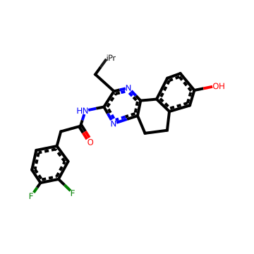 CC(C)Cc1nc2c(nc1NC(=O)Cc1ccc(F)c(F)c1)CCc1cc(O)ccc1-2